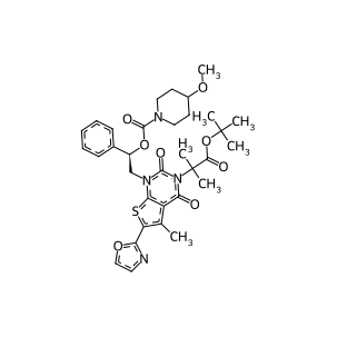 COC1CCN(C(=O)O[C@@H](Cn2c(=O)n(C(C)(C)C(=O)OC(C)(C)C)c(=O)c3c(C)c(-c4ncco4)sc32)c2ccccc2)CC1